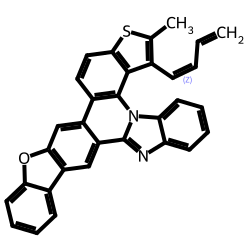 C=C/C=C\c1c(C)sc2ccc3c4cc5oc6ccccc6c5cc4c4nc5ccccc5n4c3c12